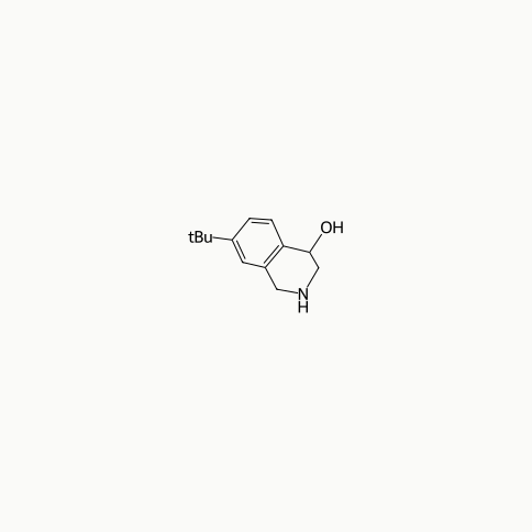 CC(C)(C)c1ccc2c(c1)CNCC2O